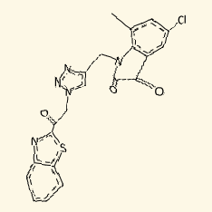 Cc1cc(Cl)cc2c1N(Cc1cn(CC(=O)c3nc4ccccc4s3)nn1)C(=O)C2=O